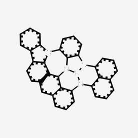 c1cc2c(c(-n3c4ccccc4c4ccccc43)c1)N1B3N2c2cccc4cccc(c24)N3c2cccc3cccc1c23